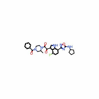 CC1CN(C(=O)c2ccccc2)CCN1C(=O)C(=O)c1c[nH]c2c(-c3noc(NC4CCCC4)n3)ccc(F)c12